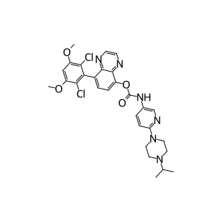 COc1cc(OC)c(Cl)c(-c2ccc(OC(=O)Nc3ccc(N4CCN(C(C)C)CC4)nc3)c3nccnc23)c1Cl